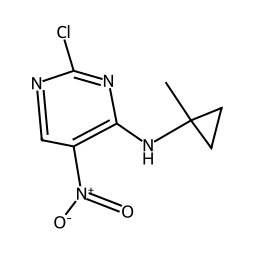 CC1(Nc2nc(Cl)ncc2[N+](=O)[O-])CC1